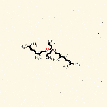 C=CC[Si](CC=C)(OC/C=C(\C)CCC=C(C)C)OC/C=C(\C)CCC=C(C)C